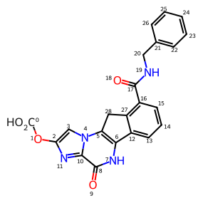 O=C(O)Oc1cn2c3c([nH]c(=O)c2n1)-c1cccc(C(=O)NCc2ccccc2)c1C3